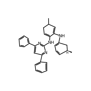 CC1C=C(NC2=CC=C[C@H](C)C2)C(Nc2nc(-c3ccccc3)cc(-c3ccccc3)n2)=CC1